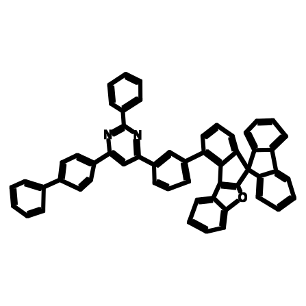 c1ccc(-c2ccc(-c3cc(-c4cccc(-c5cccc6c5-c5c(oc7ccccc57)C65c6ccccc6-c6ccccc65)c4)nc(-c4ccccc4)n3)cc2)cc1